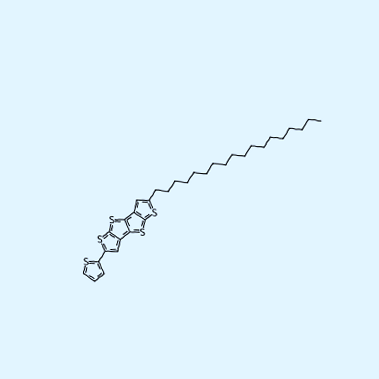 CCCCCCCCCCCCCCCCCCc1cc2c(s1)sc1c3cc(-c4cccs4)sc3sc21